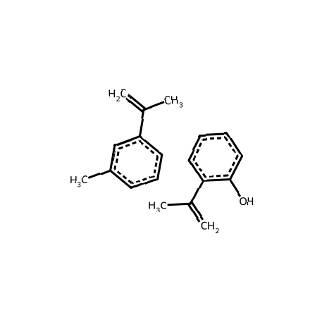 C=C(C)c1cccc(C)c1.C=C(C)c1ccccc1O